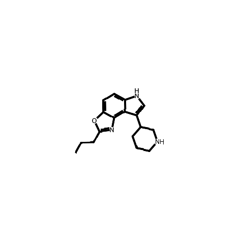 CCCc1nc2c(ccc3[nH]cc(C4CCCNC4)c32)o1